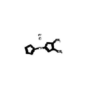 CC1=C(C)C[C]([Ti+2][C]2=CC=CC2)=C1.[Cl-].[Cl-]